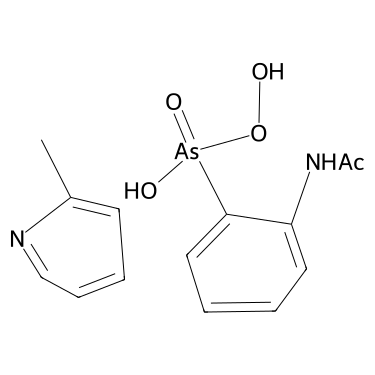 CC(=O)Nc1ccccc1[As](=O)(O)OO.Cc1ccccn1